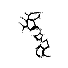 Cc1ncnc2c1CCN2C1CCC(Oc2cc(C(F)F)c(F)c3c2CNCC3C)C1